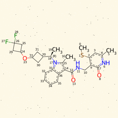 CSc1cc(C)[nH]c(=O)c1CNC(=O)c1c(C)n([C@H](C)C2CC(OC3CC(F)(F)C3)C2)c2ccccc12